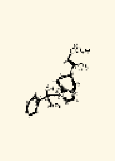 CCCC(C)(c1ccccc1)n1ccc2cc(C(C)=CC(=O)O)ccc21